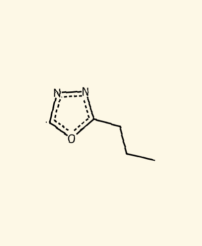 CCCc1nn[c]o1